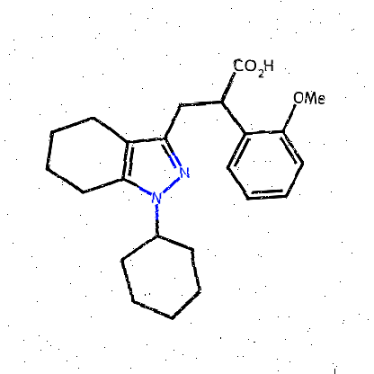 COc1ccccc1C(Cc1nn(C2CCCCC2)c2c1CCCC2)C(=O)O